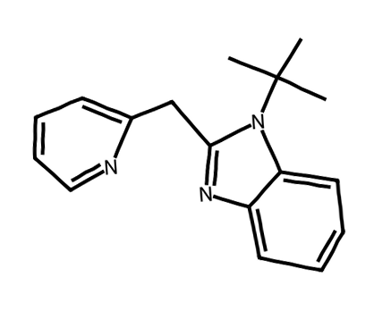 CC(C)(C)n1c(Cc2ccccn2)nc2ccccc21